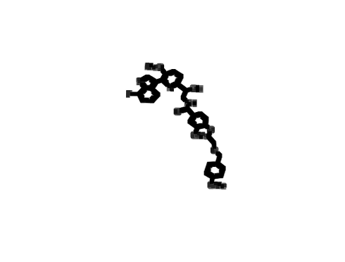 COc1ccc(COCCOc2ccc(C(=O)NCC(O)c3ccc(OC)c(-c4csc5c(F)cccc45)n3)cc2OC)cc1